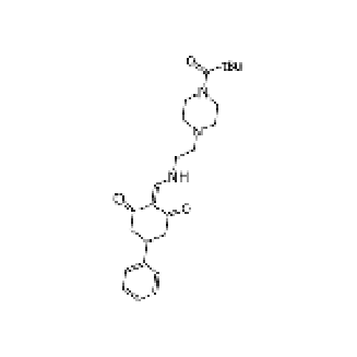 CC(C)(C)C(=O)N1CCN(CCNC=C2C(=O)CC(c3ccccc3)CC2=O)CC1